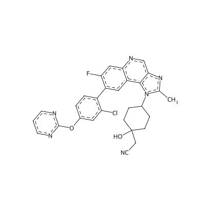 Cc1nc2cnc3cc(F)c(-c4ccc(Oc5ncccn5)cc4Cl)cc3c2n1C1CCC(O)(CC#N)CC1